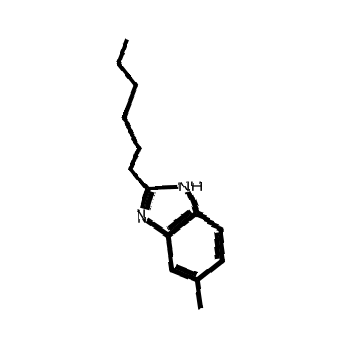 CCCCCCc1nc2cc(C)ccc2[nH]1